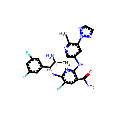 Cc1ncc(Nc2nc(N[C@H](c3cc(F)cc(F)c3)[C@H](C)N)c(F)cc2C(N)=O)cc1-n1nccn1